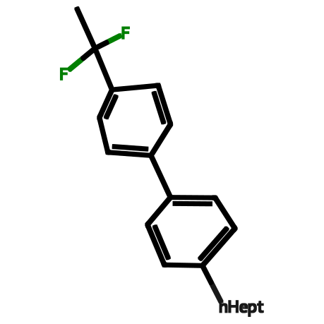 CCCCCCCc1ccc(-c2ccc(C(C)(F)F)cc2)cc1